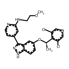 COCCNc1cc(-c2n[nH]c3ccc(O[C@H](C)c4c(Cl)cncc4Cl)cc23)ccn1